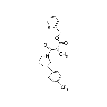 CN(C(=O)OCc1ccccc1)C(=O)N1CCCC(c2ccc(C(F)(F)F)cc2)C1